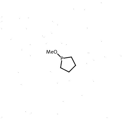 COP1CCCC1